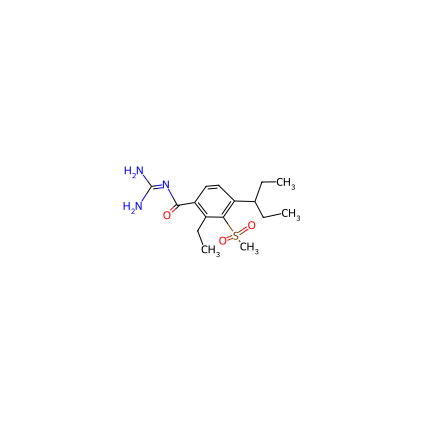 CCc1c(C(=O)N=C(N)N)ccc(C(CC)CC)c1S(C)(=O)=O